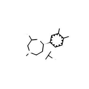 CC(C)(C)C1CN(C(=O)O)C[C@@H](C(C)(C)O)[C@H](c2ccc(Cl)c(Cl)c2)O1